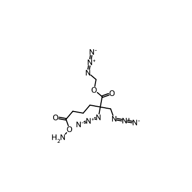 [N-]=[N+]=NCOC(=O)C(CCCC(=O)ON)(CN=[N+]=[N-])N=[N+]=[N-]